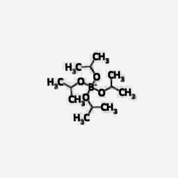 CC(C)O[B-](OC(C)C)(OC(C)C)OC(C)C